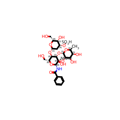 CC(=O)N[C@]1(O)[C@H](NC(=O)c2ccccc2)O[C@H](CO)[C@@H](O[C@H]2C[C@@H](OS(=O)(=O)O)[C@@H](O)[C@@H](CO)O2)[C@@H]1O[C@@H]1O[C@@H](C)[C@@H](O)[C@@H](O)[C@@H]1O